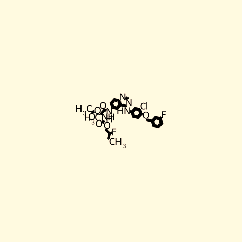 CCC(F)COC(=O)NC(C)(OC(C)=O)C(=O)Nc1ccc2ncnc(Nc3ccc(OCc4cccc(F)c4)c(Cl)c3)c2c1